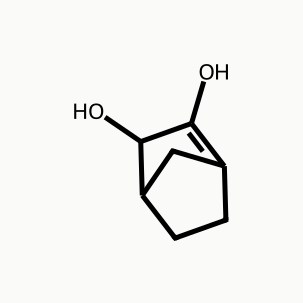 OC1=C2CCC(C2)C1O